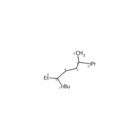 [CH2]C(C)C(C)CCC(CC)CCCC